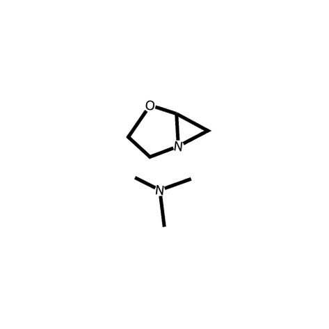 C1CN2CC2O1.CN(C)C